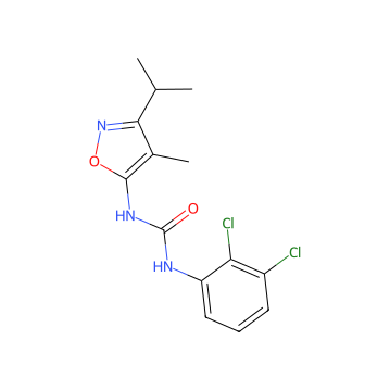 Cc1c(C(C)C)noc1NC(=O)Nc1cccc(Cl)c1Cl